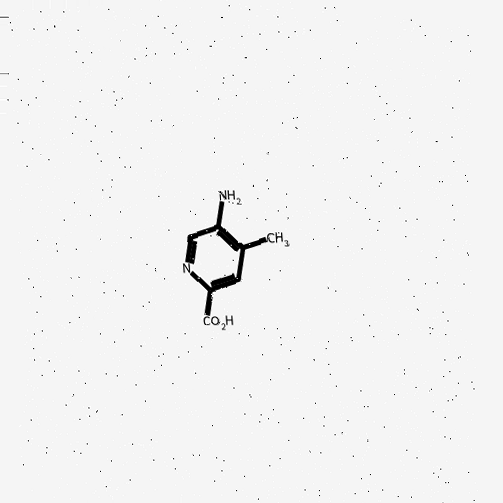 Cc1cc(C(=O)O)ncc1N